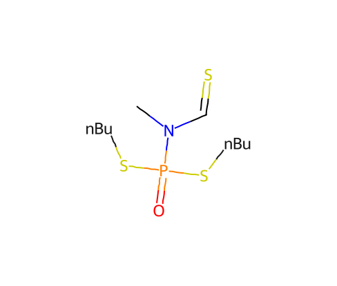 CCCCSP(=O)(SCCCC)N(C)C=S